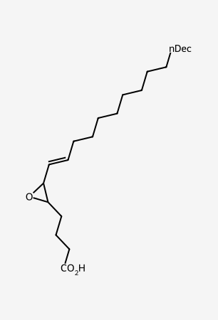 CCCCCCCCCCCCCCCCCC/C=C/C1OC1CCCC(=O)O